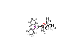 CC(C)(C)O[SiH2]CCP(c1ccccc1)c1ccccc1